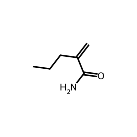 C=C(CCC)C(N)=O